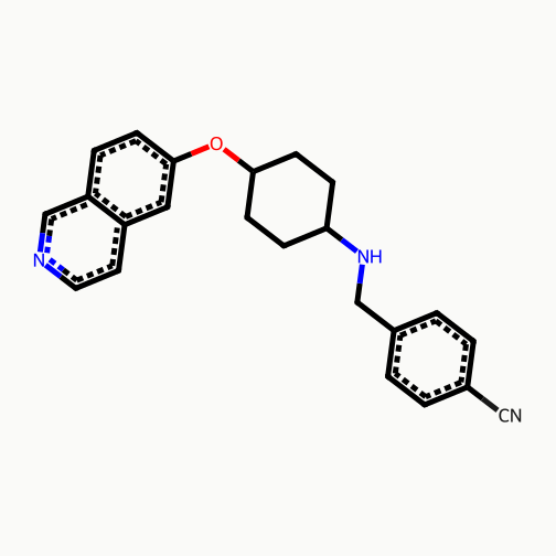 N#Cc1ccc(CNC2CCC(Oc3ccc4cnccc4c3)CC2)cc1